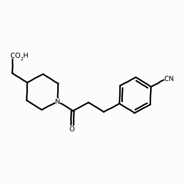 N#Cc1ccc(CCC(=O)N2CCC(CC(=O)O)CC2)cc1